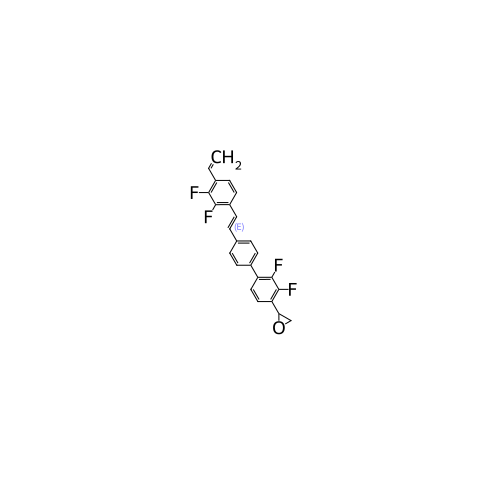 C=Cc1ccc(/C=C/c2ccc(-c3ccc(C4CO4)c(F)c3F)cc2)c(F)c1F